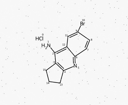 Cl.Nc1c2c(nc3ccc(Br)cc13)CCC2